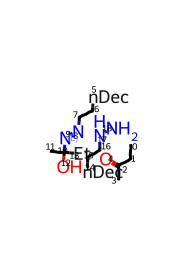 CCC(C)=O.CCCCCCCCCCCC/N=N/C(C)(O)CC.CCCCCCCCCCCCNN